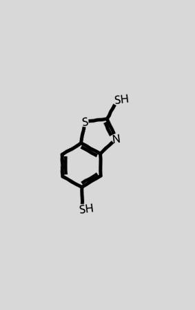 Sc1ccc2sc(S)nc2c1